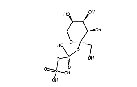 O=P(O)(O)OP(=O)(O)O[C@@]1(CO)OC[C@@H](O)[C@@H](O)[C@H]1O